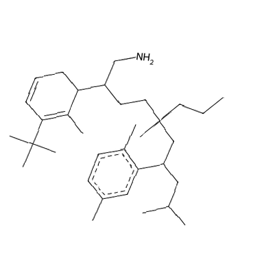 CCCC(C)(CCC(CN)C1CC=CC(C(C)(C)C)=C1C)CC(CC(C)C)c1cc(C)ccc1C